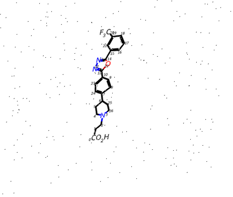 O=C(O)CCN1CCC(c2ccc(-c3nnc(-c4cccc(C(F)(F)F)c4)o3)cc2)CC1